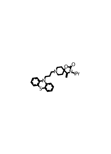 C=C1N(C(C)C)C(=O)OC12CCN(CCCN1c3ccccc3Sc3ccccc31)CC2